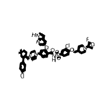 CC1(C)CCC(CN2CCN(c3ccc(C(=O)NS(=O)(=O)c4ccc(OCC5CCN(C6CO[C@H]6F)CC5)c(Cl)c4)c(Oc4cnc5[nH]ccc5c4)c3)CC2)=C(c2ccc(Cl)cc2)C1